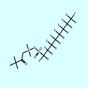 CC(C)(C)C(=O)CS(C)(C)OS(=O)(=O)C(F)(F)C(F)(F)C(F)(F)C(F)(F)C(F)(F)C(F)(F)C(F)(F)C(F)(F)F